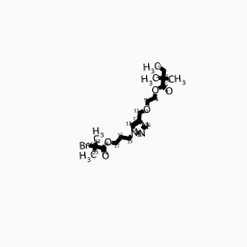 CCC(C)(C)C(=O)OCCOCc1cn(CCCOC(=O)C(C)(C)Br)nn1